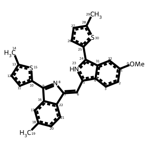 COc1ccc2c(/C=C3\N=C(c4ccc(C)s4)c4cc(C)ccc43)[nH]c(-c3ccc(C)s3)c2c1